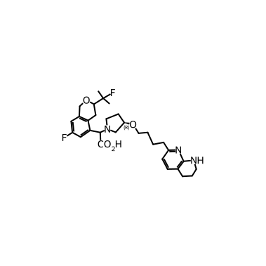 CC(C)(F)C1Cc2c(cc(F)cc2C(C(=O)O)N2CC[C@@H](OCCCCc3ccc4c(n3)NCCC4)C2)CO1